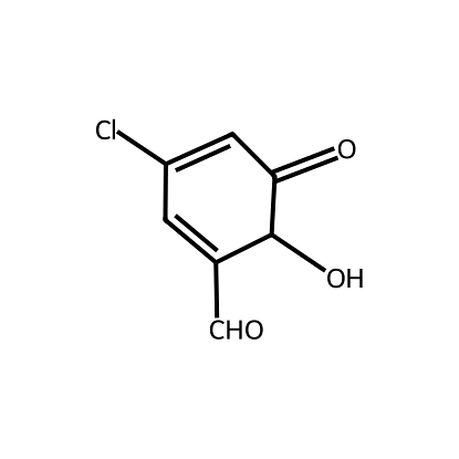 O=CC1=CC(Cl)=CC(=O)C1O